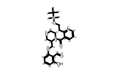 CC(C)(C)[Si](C)(C)OCCc1ncccc1C(=O)N1CCOCC1COc1cccc(O)c1C=O